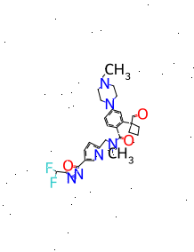 CCN1CCN(c2ccc(C(=O)N(C)Cc3ccc(-c4nnc(C(F)F)o4)cn3)c(C3(C=O)CCC3)c2)CC1